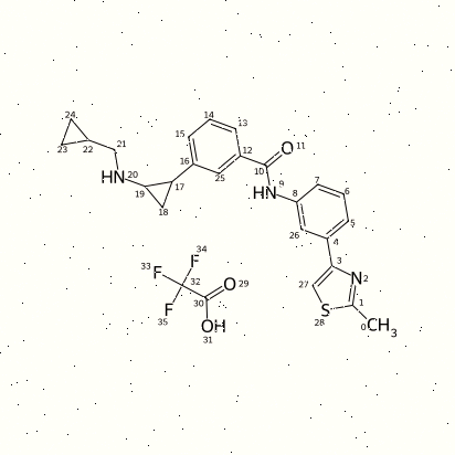 Cc1nc(-c2cccc(NC(=O)c3cccc(C4CC4NCC4CC4)c3)c2)cs1.O=C(O)C(F)(F)F